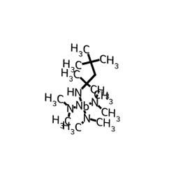 C[N](C)[Nb]([NH]C(C)(C)CC(C)(C)C)([N](C)C)[N](C)C